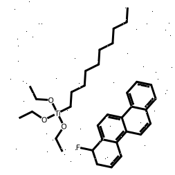 CCCCCCCCC[CH2][Ti]([O]CC)([O]CC)[O]CC.FC1CC=Cc2c1ccc1c2ccc2ccccc21